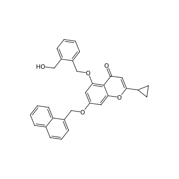 O=c1cc(C2CC2)oc2cc(OCc3cccc4ccccc34)cc(OCc3ccccc3CO)c12